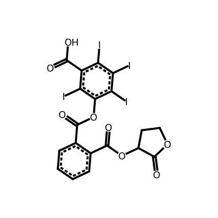 O=C(Oc1c(I)c(I)c(I)c(C(=O)O)c1I)c1ccccc1C(=O)OC1CCOC1=O